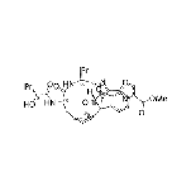 COC(=O)c1coc(-c2nc3oc2C24c5ccccc5N[C@H]2Oc2ccc(cc24)C[C@H](NC(=O)[C@@H](O)C(C)C)C(=O)N[C@H]3C(C)C)n1